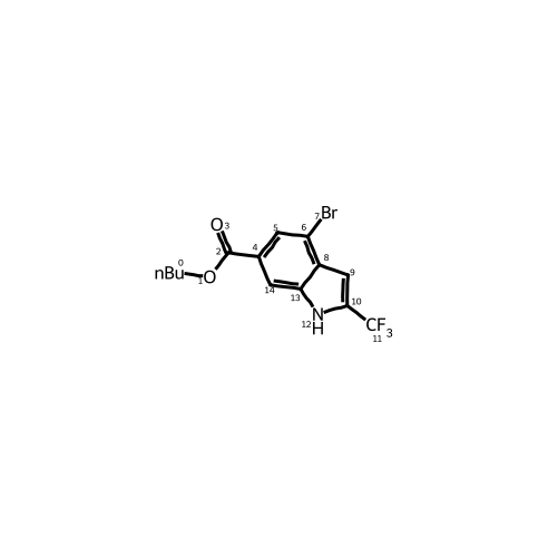 CCCCOC(=O)c1cc(Br)c2cc(C(F)(F)F)[nH]c2c1